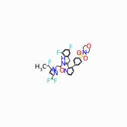 CC(F)c1cc(C(F)F)nn1CC(=O)N[C@@H](Cc1cc(F)cc(F)c1)c1ncccc1-c1ccc(S(=O)(=O)N2CCOCC2)cc1